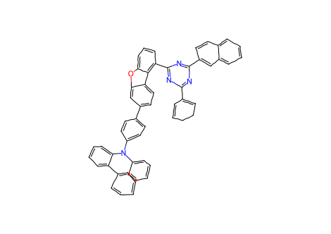 C1=CC(c2nc(-c3ccc4ccccc4c3)nc(-c3cccc4oc5cc(-c6ccc(N(c7ccccc7)c7ccccc7-c7ccccc7)cc6)ccc5c34)n2)=CCC1